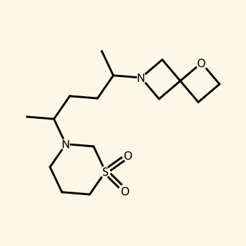 CC(CCC(C)N1CCCS(=O)(=O)C1)N1CC2(CCO2)C1